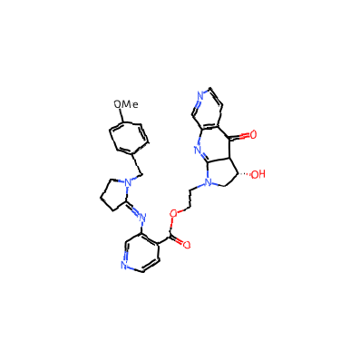 COc1ccc(CN2CCC/C2=N\c2cnccc2C(=O)OCCN2C[C@@H](O)C3C(=O)c4ccncc4N=C32)cc1